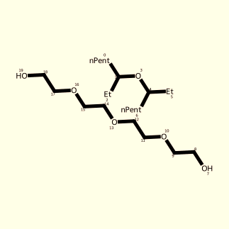 CCCCCC(CC)OC(CC)CCCCC.OCCOCCOCCOCCO